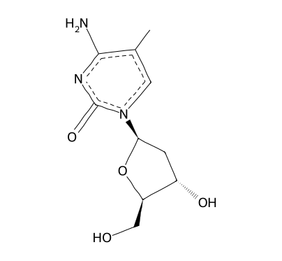 Cc1cn([C@H]2C[C@H](O)[C@@H](CO)O2)c(=O)nc1N